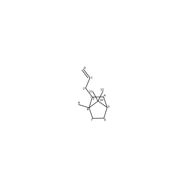 C=CC[C]1CC2CCC1(C)C2(C)C